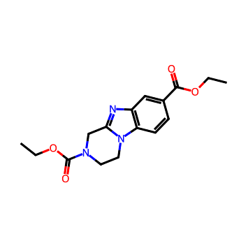 CCOC(=O)c1ccc2c(c1)nc1n2CCN(C(=O)OCC)C1